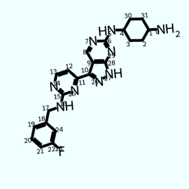 NC1CCC(Nc2ncc3c(-c4ccnc(NCc5cccc(F)c5)n4)n[nH]c3n2)CC1